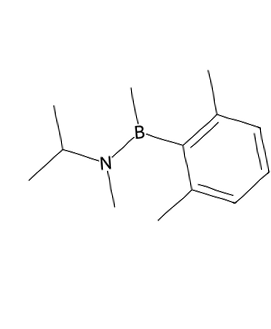 CB(c1c(C)cccc1C)N(C)C(C)C